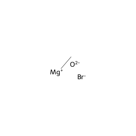 [Br-].[CH3][Mg+].[O-2]